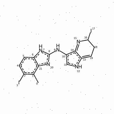 Cc1c(I)ccc2[nH]c(Nc3c[nH]c4c3=NC(I)CC=4)nc12